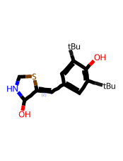 CC(C)(C)c1cc(/C=C2\SCNC2O)cc(C(C)(C)C)c1O